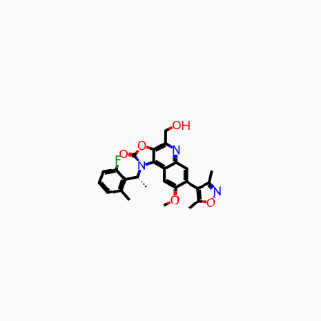 COc1cc2c(cc1-c1c(C)noc1C)nc(CO)c1oc(=O)n([C@H](C)c3c(C)cccc3F)c12